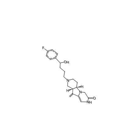 C=C1C2=CNC(=O)CN2[C@H]2CCN(CCCC(O)c3ccc(F)cc3)C[C@@H]12